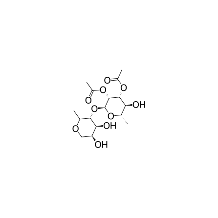 CC(=O)O[C@@H]1[C@@H](O)[C@H](C)O[C@@H](O[C@H]2C(C)OC[C@H](O)[C@@H]2O)[C@@H]1OC(C)=O